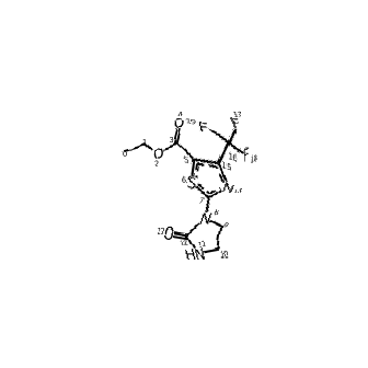 CCOC(=O)c1sc(N2CCNC2=O)nc1C(F)(F)F